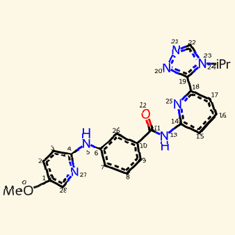 COc1ccc(Nc2cccc(C(=O)Nc3cccc(-c4nncn4C(C)C)n3)c2)nc1